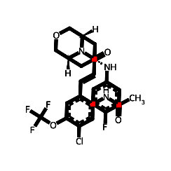 CC(=O)Nc1cc(Cl)c(OC(F)(F)F)cc1/C=C/C(=O)N1[C@@H]2COC[C@H]1C[C@@H](Nc1ccc(F)cc1)C2